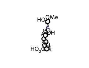 COc1ccc(/C=C/C(=O)O[C@@H]2[C@H](O)C[C@@]3(C)C(CC[C@]4(C)C3CC=C3[C@@H]5[C@@H](C)[C@H](C)CC[C@]5(C(=O)O)CC[C@]34C)C2(C)C)cc1O